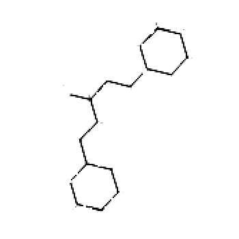 O=C(O)C(CCC1CCCCC1)CCC1CCCCC1